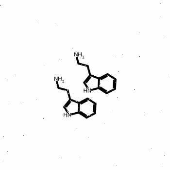 NCCc1c[nH]c2ccccc12.NCCc1c[nH]c2ccccc12